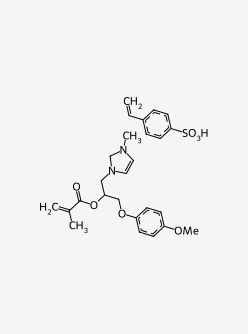 C=C(C)C(=O)OC(COc1ccc(OC)cc1)CN1C=CN(C)C1.C=Cc1ccc(S(=O)(=O)O)cc1